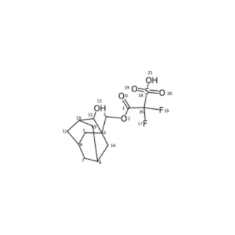 O=C(OCC12CC3CC(CC(C3)C1O)C2)C(F)(F)S(=O)(=O)O